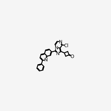 O=C1CC(c2nc(-c3ccc4ccc(-c5ccccc5)nc4c3)n3ccnc(Cl)c23)C1